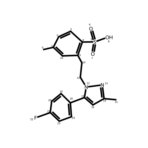 Cc1ccc(S(=O)(=O)O)c(CCn2nc(C)cc2-c2ccc(F)cc2)c1